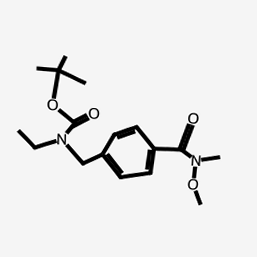 CCN(Cc1ccc(C(=O)N(C)OC)cc1)C(=O)OC(C)(C)C